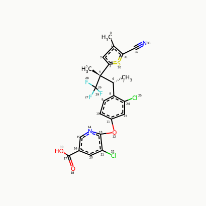 Cc1cc([C@](C)([C@H](C)c2ccc(Oc3ncc(C(=O)O)cc3Cl)cc2Cl)C(F)(F)F)sc1C#N